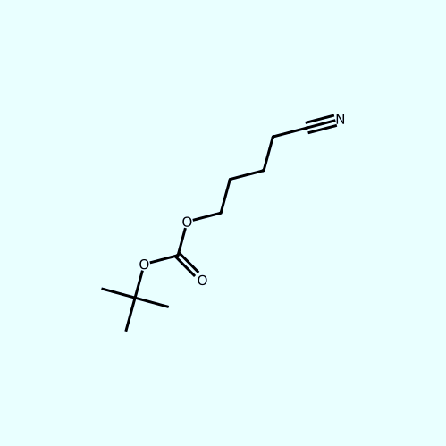 CC(C)(C)OC(=O)OCCCCC#N